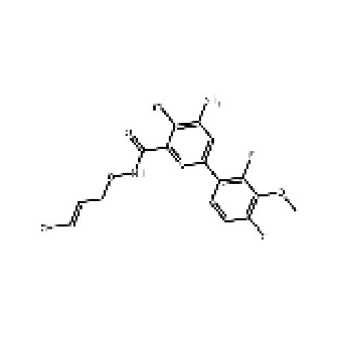 COc1c(Cl)ccc(-c2cc(N)c(Cl)c(C(=O)NOCC=CCl)n2)c1F